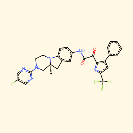 O=C(Nc1ccc2c(c1)C[C@H]1CN(c3ncc(F)cn3)CCN21)C(=O)c1[nH]c(C(F)(F)F)cc1-c1ccccc1